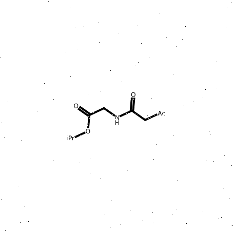 CC(=O)CC(=O)NCC(=O)OC(C)C